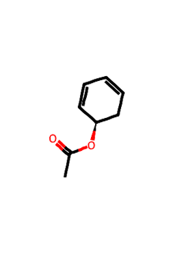 CC(=O)O[C@H]1C=CC=CC1